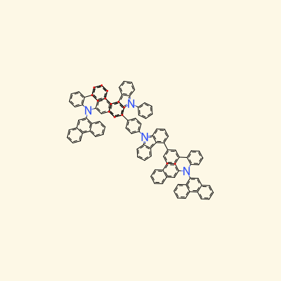 c1ccc(-n2c3ccccc3c3c(-c4cccc(-c5ccccc5N(c5cc6ccccc6c6ccccc56)c5cc6cc(-c7ccc(-n8c9ccccc9c9c(-c%10cccc(-c%11ccccc%11N(c%11ccc%12ccccc%12c%11)c%11cc%12ccccc%12c%12ccccc%11%12)c%10)cccc98)cc7)ccc6c6ccccc56)c4)cccc32)cc1